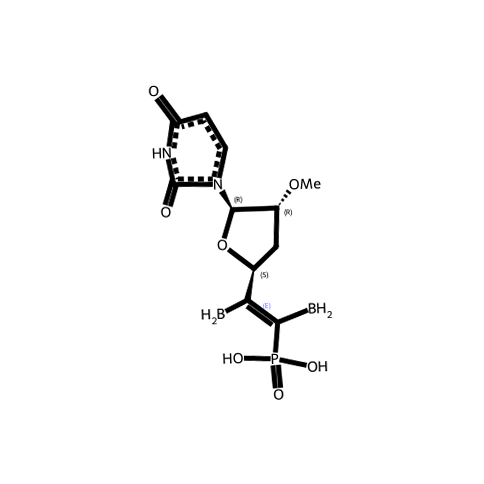 B/C(=C(/B)P(=O)(O)O)[C@@H]1C[C@@H](OC)[C@H](n2ccc(=O)[nH]c2=O)O1